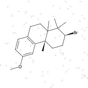 COc1ccc2c(c1)[C@@]1(C)CC[C@H](Br)C(C)(C)C1(C)CC2